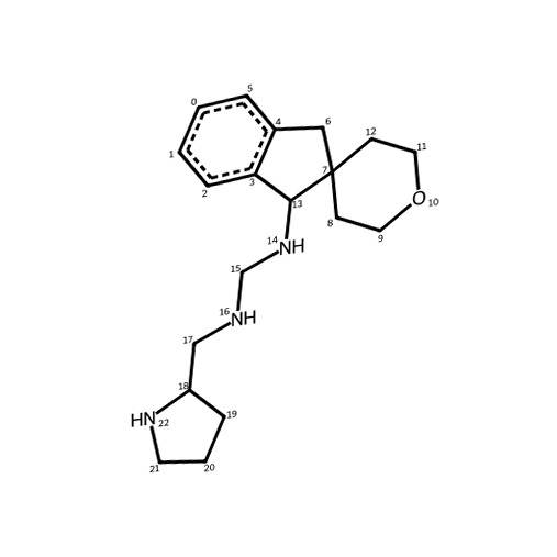 c1ccc2c(c1)CC1(CCOCC1)C2NCNCC1CCCN1